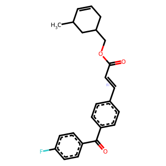 CC1C=CCC(COC(=O)/C=C/c2ccc(C(=O)c3ccc(F)cc3)cc2)C1